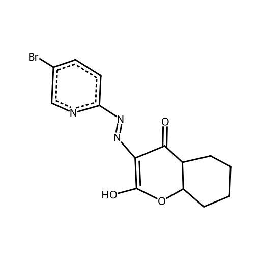 O=C1C(N=Nc2ccc(Br)cn2)=C(O)OC2CCCCC12